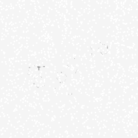 C#CCN(c1ccc(N[C@@H](CCCS(=O)(=O)c2nc[nH]n2)C(=O)O)cc1)C1CCc2cc3nc(C)[nH]c(=O)c3cc21